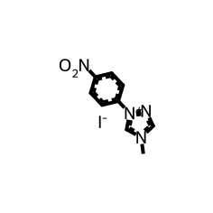 Cn1cn[n+](-c2ccc([N+](=O)[O-])cc2)c1.[I-]